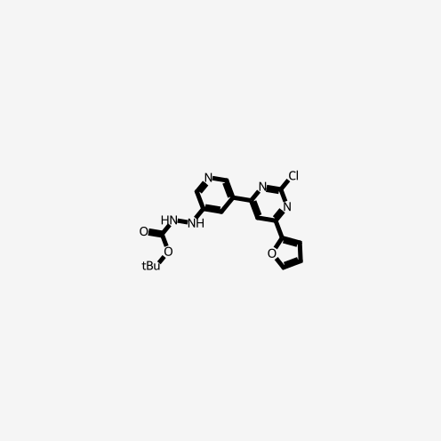 CC(C)(C)OC(=O)NNc1cncc(-c2cc(-c3ccco3)nc(Cl)n2)c1